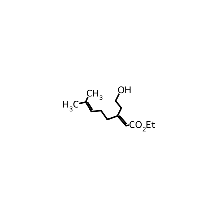 CCOC(=O)/C=C(\CCO)CCC=C(C)C